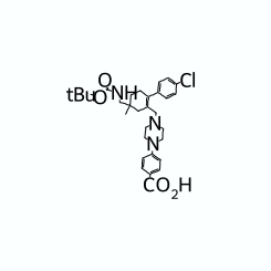 CC1(CNC(=O)OC(C)(C)C)CCC(c2ccc(Cl)cc2)=C(CN2CCN(c3ccc(C(=O)O)cc3)CC2)C1